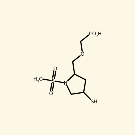 CS(=O)(=O)N1CC(S)CC1COCC(=O)O